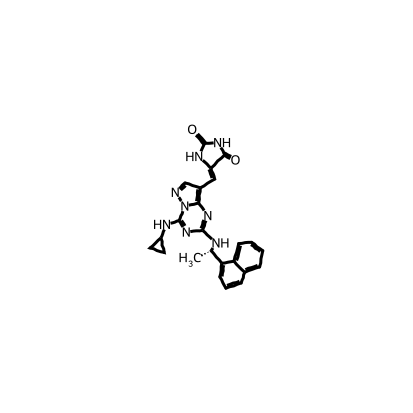 C[C@H](Nc1nc(NC2CC2)n2ncc(/C=C3\NC(=O)NC3=O)c2n1)c1cccc2ccccc12